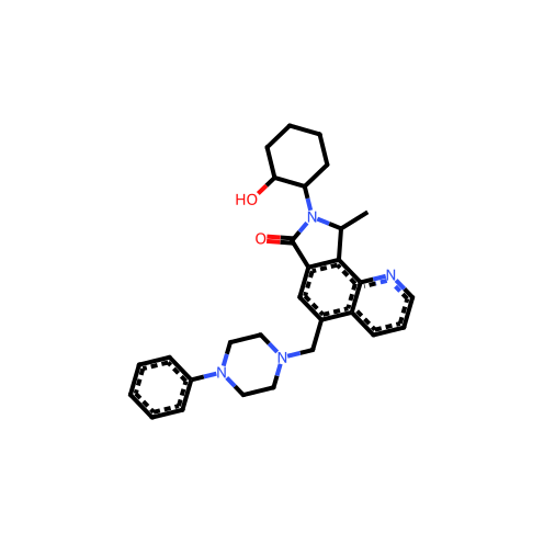 CC1c2c(cc(CN3CCN(c4ccccc4)CC3)c3cccnc23)C(=O)N1C1CCCCC1O